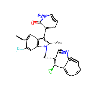 CC(=O)c1c(-c2ccc[nH]c2=O)c2cc(C)c(F)cc2n1Cc1cnc2ccccc2c1Cl